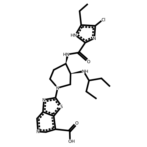 CCc1[nH]c(C(=O)N[C@@H]2CCN(c3nc4cncc(C(=O)O)c4s3)C[C@@H]2NC(CC)CC)nc1Cl